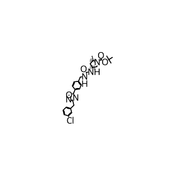 C[C@@H]1C[C@@H](NC(=O)NCc2ccc(-c3nc(Cc4cccc(Cl)c4)no3)cc2)CN1C(=O)OC(C)(C)C